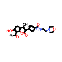 [2H]C(=O)c1c(O)ccc2c(C)c(-c3ccc(C(=O)NCCN4CCOCC4)cc3)c(=O)oc12